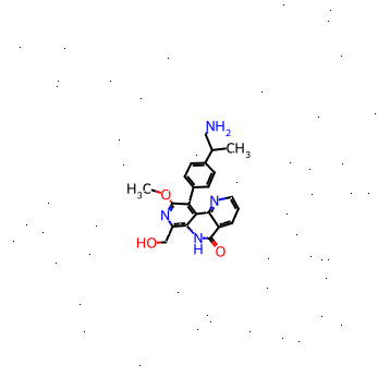 COc1nc(CO)c2[nH]c(=O)c3cccnc3c2c1-c1ccc(C(C)CN)cc1